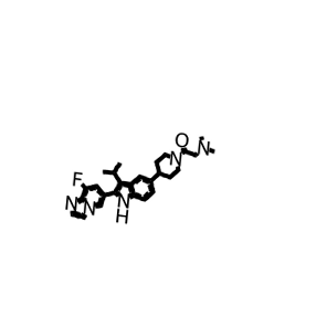 CC(C)c1c(-c2cc(F)c3nccn3c2)[nH]c2ccc(C3CCN(C(=O)CN(C)C)CC3)cc12